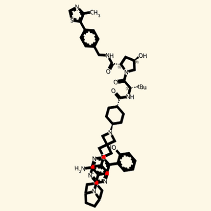 Cc1ncsc1-c1ccc(CNC(=O)[C@@H]2C[C@@H](O)CN2C(=O)[C@@H](NC(=O)[C@H]2CC[C@H](N3CC4(CN(c5cnc(N6C7CCC6CN(c6cc(-c8ccccc8O)nnc6N)C7)nc5)C4)C3)CC2)C(C)(C)C)cc1